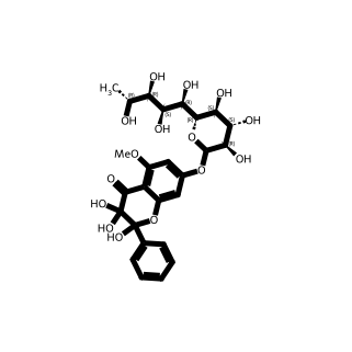 COc1cc(OC2O[C@H]([C@H](O)[C@@H](O)[C@H](O)[C@@H](C)O)[C@@H](O)[C@H](O)[C@H]2O)cc2c1C(=O)C(O)(O)C(O)(c1ccccc1)O2